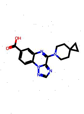 O=C(O)c1ccc2c(c1)nc(N1CCC3(CC1)CC3)c1ncnn12